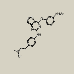 CC(=O)Nc1cccc(Oc2nc(Nc3ccc(CC[S+](C)[O-])cc3)nc3ccsc23)c1